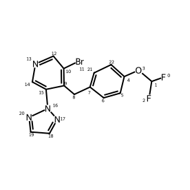 FC(F)Oc1ccc(Cc2c(Br)cncc2-n2nccn2)cc1